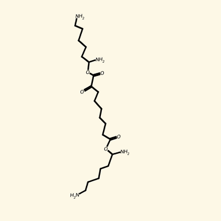 NCCCCCC(N)OC(=O)CCCCCCC(=O)C(=O)OC(N)CCCCCN